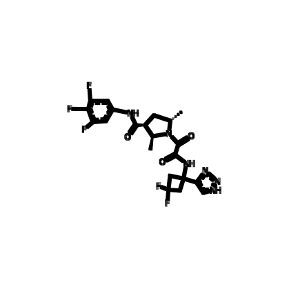 C[C@H]1C[C@H](C(=O)Nc2cc(F)c(F)c(F)c2)[C@H](C)N1C(=O)C(=O)NC1(c2c[nH]nn2)CC(F)(F)C1